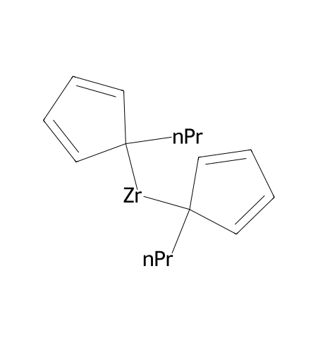 CCC[C]1([Zr][C]2(CCC)C=CC=C2)C=CC=C1